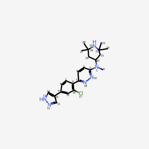 CN(c1ccc(-c2ccc(-c3cn[nH]c3)cc2Cl)nn1)C1CC(C)(C)NC(C)(C)C1